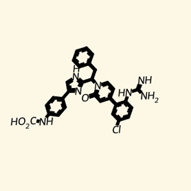 N=C(N)Nc1ccc(Cl)cc1-c1ccn(C(Cc2ccccc2)c2nc(-c3ccc(NC(=O)O)cc3)c[nH]2)c(=O)c1